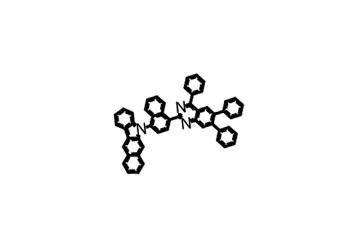 c1ccc(-c2cc3nc(-c4ccc(-n5c6ccccc6c6cc7ccccc7cc65)c5ccccc45)nc(-c4ccccc4)c3cc2-c2ccccc2)cc1